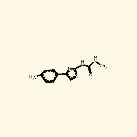 CNC(=O)Nc1nc(-c2ccc(C)cc2)cs1